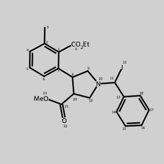 CCOC(=O)c1c(C)cccc1C1CN(C(I)c2ccccc2)CC1C(=O)OC